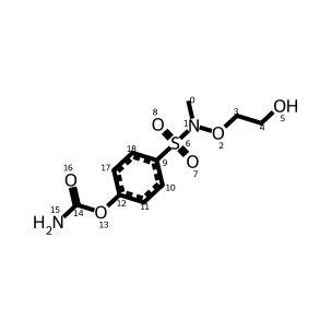 CN(OCCO)S(=O)(=O)c1ccc(OC(N)=O)cc1